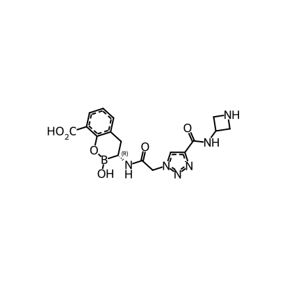 O=C(Cn1cc(C(=O)NC2CNC2)nn1)N[C@H]1Cc2cccc(C(=O)O)c2OB1O